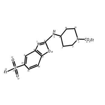 CCOC(=O)N1CCC(Nc2nc3cc(S(=O)(=O)CC)ccc3o2)CC1